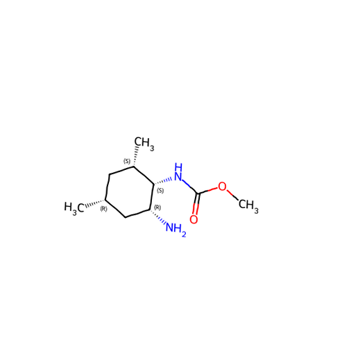 COC(=O)N[C@@H]1[C@H](N)C[C@H](C)C[C@@H]1C